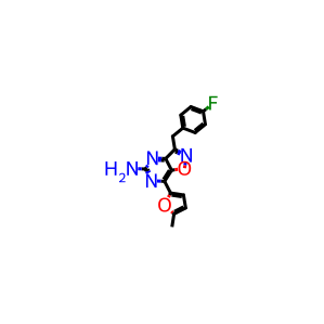 Cc1ccc(-c2nc(N)nc3c(Cc4ccc(F)cc4)noc23)o1